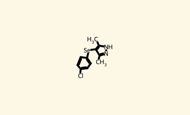 Cc1n[nH]c(C)c1[Se]c1ccc(Cl)cc1